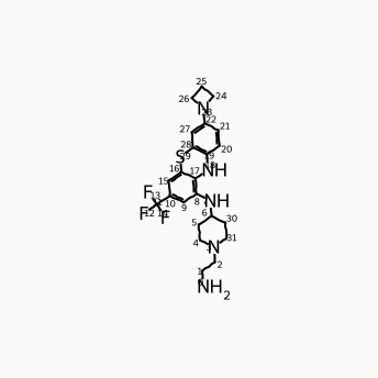 NCCN1CCC(Nc2cc(C(F)(F)F)cc3c2Nc2ccc(N4CCC4)cc2S3)CC1